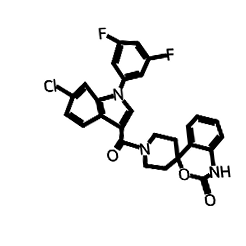 O=C1Nc2ccccc2C2(CCN(C(=O)c3cn(-c4cc(F)cc(F)c4)c4cc(Cl)ccc34)CC2)O1